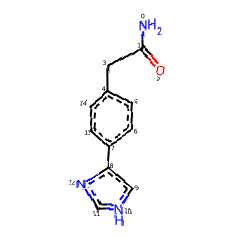 NC(=O)Cc1ccc(-c2c[nH]cn2)cc1